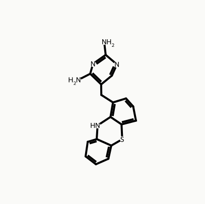 Nc1ncc(Cc2cccc3c2Nc2ccccc2S3)c(N)n1